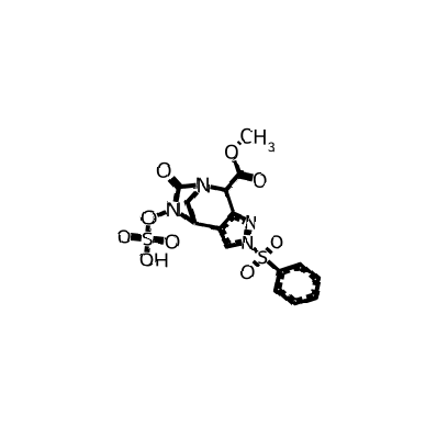 COC(=O)C1c2nn(S(=O)(=O)c3ccccc3)cc2C2CN1C(=O)N2OS(=O)(=O)O